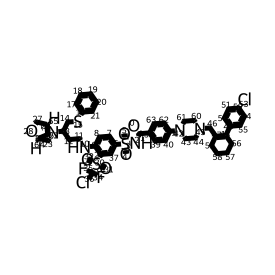 O=C(NS(=O)(=O)c1ccc(NCCC(CSc2ccccc2)N2C[C@@H]3C[C@H]2CO3)c(S(=O)(=O)C(F)(F)Cl)c1)c1ccc(N2CCN(CC3=C(c4ccc(Cl)cc4)CCCC3)CC2)cc1